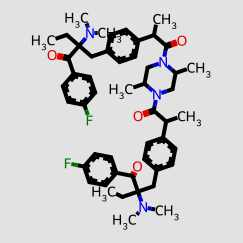 CCC(Cc1ccc(C(C)C(=O)N2CC(C)N(C(=O)C(C)c3ccc(CC(CC)(C(=O)c4ccc(F)cc4)N(C)C)cc3)CC2C)cc1)(C(=O)c1ccc(F)cc1)N(C)C